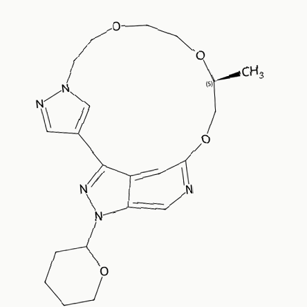 C[C@H]1COc2cc3c(nn(C4CCCCO4)c3cn2)-c2cnn(c2)CCOCCO1